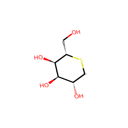 OC[C@@H]1S[CH][C@H](O)[C@@H](O)[C@H]1O